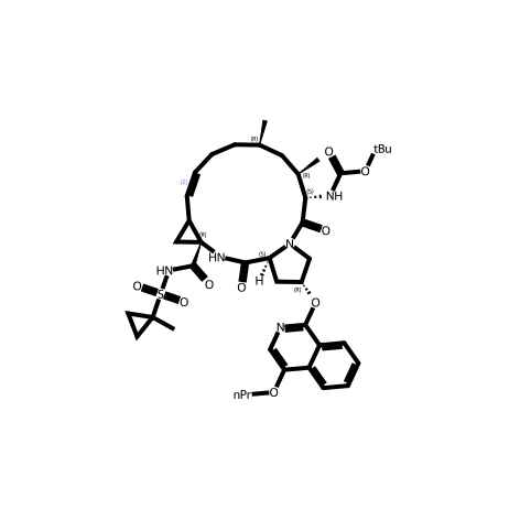 CCCOc1cnc(O[C@@H]2C[C@H]3C(=O)N[C@]4(C(=O)NS(=O)(=O)C5(C)CC5)CC4/C=C\CC[C@@H](C)C[C@@H](C)[C@H](NC(=O)OC(C)(C)C)C(=O)N3C2)c2ccccc12